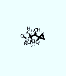 CC(C1(C)CC1)C(C)(C)[S+](N)[O-]